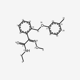 CCNC(=O)C(=NOC)c1ccccc1COc1cccc(C)c1